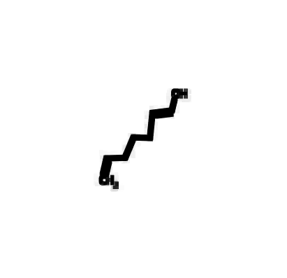 C=CCCC/C=C/O